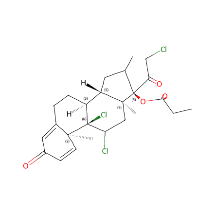 CCC(=O)O[C@]1(C(=O)CCl)C(C)C[C@H]2[C@@H]3CCC4=CC(=O)C=C[C@]4(C)[C@@]3(Cl)C(Cl)C[C@@]21C